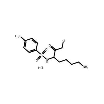 Cc1ccc(S(=O)(=O)NC(CCCCN)C(=O)CCl)cc1.Cl